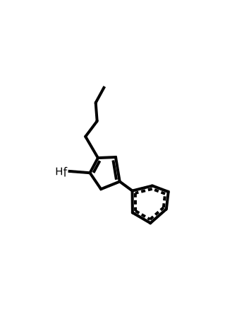 CCCCC1=[C]([Hf])CC(c2ccccc2)=C1